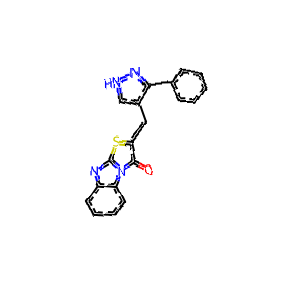 O=c1c(=Cc2c[nH]nc2-c2ccccc2)sc2nc3ccccc3n12